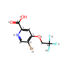 O=C(O)c1cc(OCC(F)(F)F)c(Br)cn1